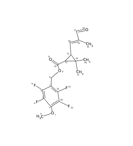 COc1c(F)c(F)c(COC(=O)C2C(/C=C(\C)C=O)C2(C)C)c(F)c1F